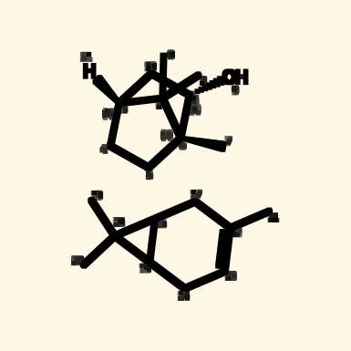 CC1(C)[C@@H]2CC[C@@]1(C)[C@@H](O)C2.CC1=CCC2C(C1)C2(C)C